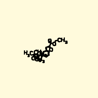 CCOC(=O)c1cc2cc(O[Si](C)(C)C(C)(C)C)ccc2o1